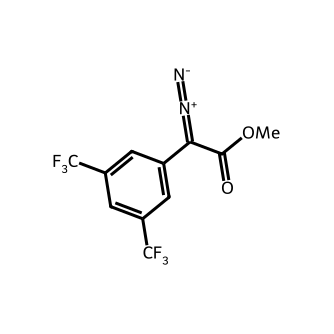 COC(=O)C(=[N+]=[N-])c1cc(C(F)(F)F)cc(C(F)(F)F)c1